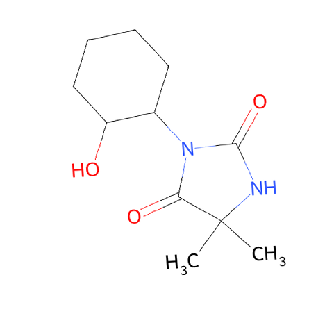 CC1(C)NC(=O)N(C2CCCCC2O)C1=O